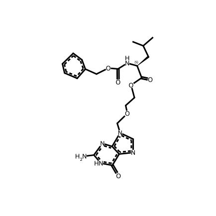 CC(C)C[C@H](NC(=O)OCc1ccccc1)C(=O)OCCOCn1cnc2c(=O)[nH]c(N)nc21